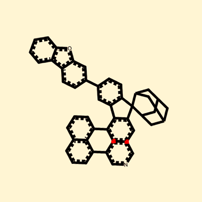 c1cncc(-c2cccc3cccc(-c4cccc5c4-c4cc(-c6ccc7c(c6)oc6ccccc67)ccc4C54C5CC6CC(C5)CC4C6)c23)c1